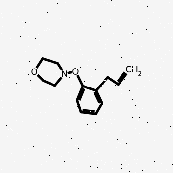 C=CCc1ccccc1ON1CCOCC1